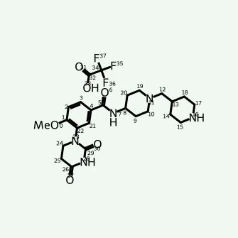 COc1ccc(C(=O)NC2CCN(CC3CCNCC3)CC2)cc1N1CCC(=O)NC1=O.O=C(O)C(F)(F)F